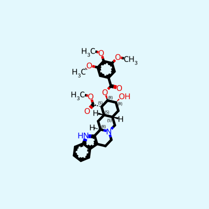 COC(=O)[C@H]1[C@H]2C[C@@H]3c4[nH]c5ccccc5c4CCN3C[C@H]2C[C@@H](O)[C@@H]1OC(=O)c1cc(OC)c(OC)c(OC)c1